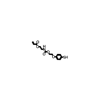 C=CC(=O)OCCNC(=O)OCCOc1ccc(S)cc1